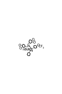 CCCCn1c(-c2ccccc2)nc(-c2ccc(OC(F)(F)F)cc2)c1CN(Cc1ccc2c(c1)OCO2)Cc1ccc2c(c1)OCO2